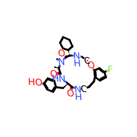 C[C@@H]1C(=O)N[C@H](Cc2ccc(O)cc2)C(=O)NCCCc2ccc(F)cc2OCCN[C@@H](C2CCCCC2)C(=O)N1C